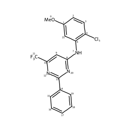 COc1ccc(Cl)c(Nc2cc(C(F)(F)F)nc(-c3ccccc3)n2)c1